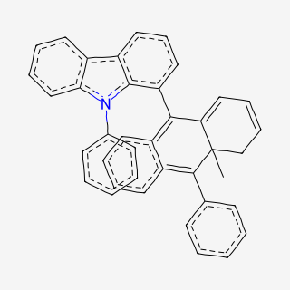 CC12CC=CC=C1C(c1cccc3c4ccccc4n(-c4ccccc4)c13)=c1ccccc1=C2c1ccccc1